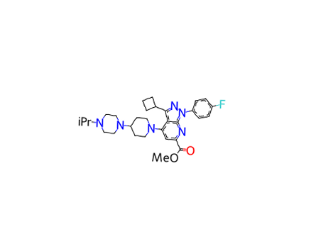 COC(=O)c1cc(N2CCC(N3CCN(C(C)C)CC3)CC2)c2c(C3CCC3)nn(-c3ccc(F)cc3)c2n1